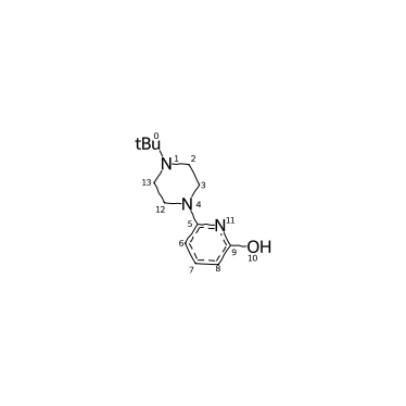 CC(C)(C)N1CCN(c2cccc(O)n2)CC1